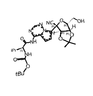 CC(C)[C@H](NC(=O)OC(C)(C)C)C(=O)Nc1ncnn2c([C@]3(C#N)O[C@H](CO)[C@H]4OC(C)(C)O[C@H]43)ccc12